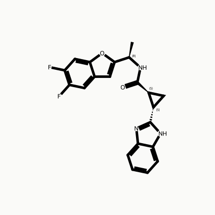 C[C@@H](NC(=O)[C@H]1C[C@@H]1c1nc2ccccc2[nH]1)c1cc2cc(F)c(F)cc2o1